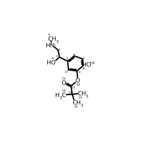 CNCC(O)c1cccc(OC(=O)C(C)(C)C)c1.Cl